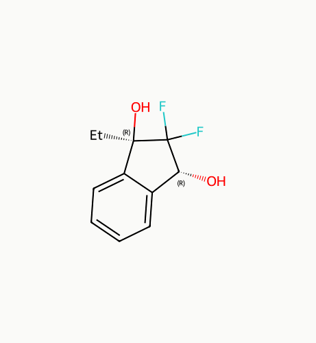 CC[C@@]1(O)c2ccccc2[C@@H](O)C1(F)F